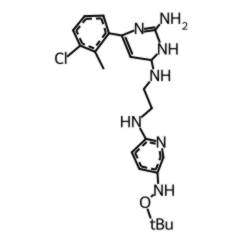 Cc1c(Cl)cccc1C1=CC(NCCNc2ccc(NOC(C)(C)C)cn2)NC(N)=N1